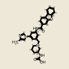 Cc1cn(-c2cc(CN3CCC[C@H](NC(=O)O)C3)cc(NC(=O)c3ccc4c(c3)oc3ccccc34)c2)cn1